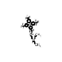 CCCC[NH+](CCCC)CCCC.FC(F)(F)c1ccc([B-](c2ccc(C(F)(F)F)cc2)(c2ccc(C(F)(F)F)cc2)c2ccc(C(F)(F)F)cc2)cc1